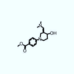 COC(=O)c1ccc(N2CCC(O)/C(=C/N(C)C)C2)cc1